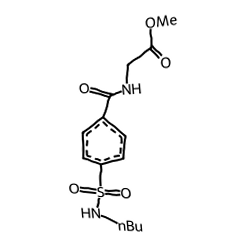 CCCCNS(=O)(=O)c1ccc(C(=O)NCC(=O)OC)cc1